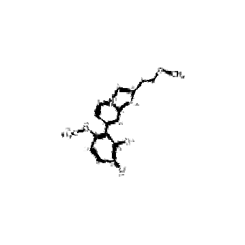 COCCc1cn2ccc(-c3c(OC)ccc(Cl)c3Cl)cc2n1